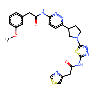 O=C(Cc1cccc(OC(F)(F)F)c1)Nc1ccc(C2CCN(c3nnc(NC(=O)Cc4cscn4)s3)C2)nn1